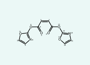 O=C(/C=C\C(=O)Oc1ncco1)Oc1ncco1